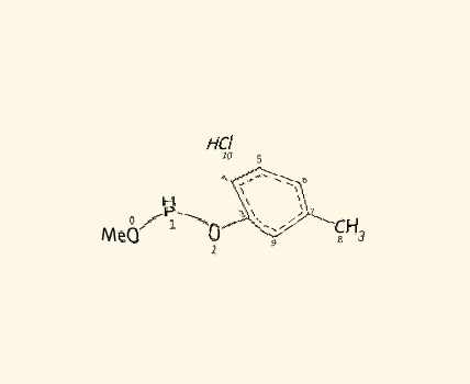 COPOc1cccc(C)c1.Cl